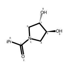 CC(C)C(=O)N1C[C@H](O)[C@@H](O)C1